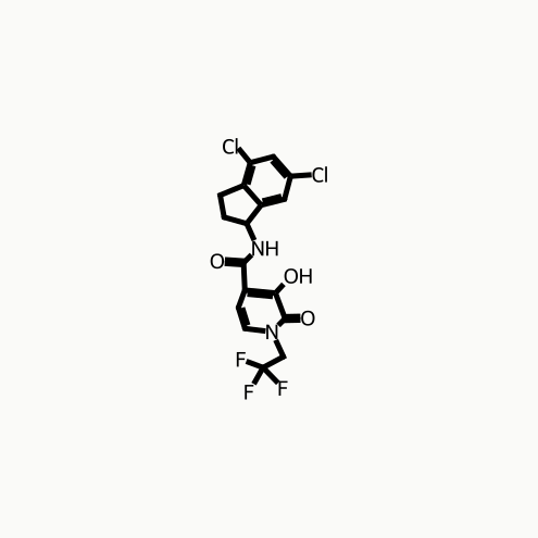 O=C(NC1CCc2c(Cl)cc(Cl)cc21)c1ccn(CC(F)(F)F)c(=O)c1O